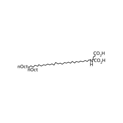 CCCCCCCCC(CCCCCCCC)CCCCCCCCCCCCCCCCCCCCCCCCCCCCCNC(CCC(=O)O)C(=O)O